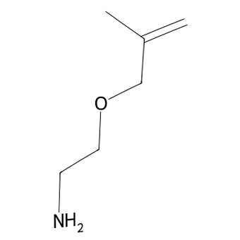 C=C(C)COCCN